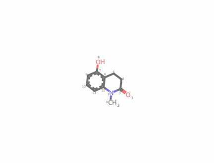 CN1C(=O)CCc2c(O)cccc21